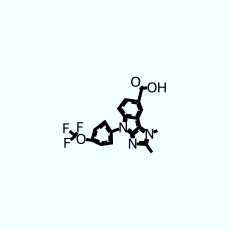 Cc1nc2c(c3cc(C(=O)O)ccc3n2-c2ccc(OC(F)(F)F)cc2)n1C